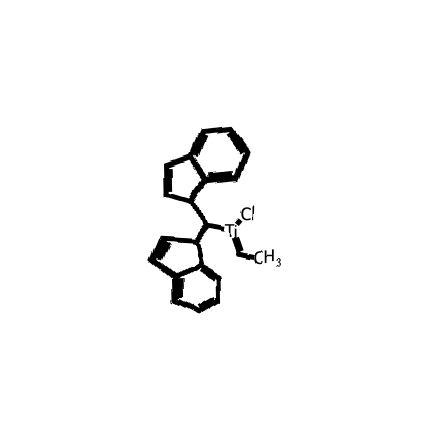 C[CH]=[Ti]([Cl])[CH](C1C=Cc2ccccc21)C1C=Cc2ccccc21